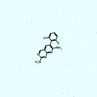 Nc1ncc2cc(-c3c(F)cccc3F)c(N)nc2n1